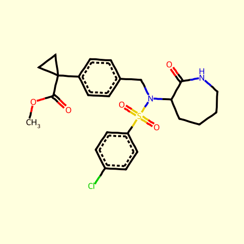 COC(=O)C1(c2ccc(CN(C3CCCCNC3=O)S(=O)(=O)c3ccc(Cl)cc3)cc2)CC1